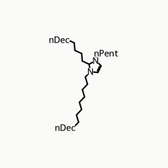 CCCCCCCCCCCCCCCCCCN1C=CN(CCCCC)C1CCCCCCCCCCCCCC